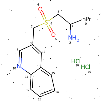 CCCC(N)CS(=O)(=O)Cc1cnc2ccccc2c1.Cl.Cl